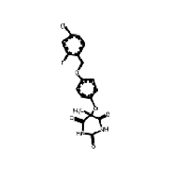 CC1(Oc2ccc(OCc3ccc(Cl)cc3F)cc2)C(=O)NC(=O)NC1=O